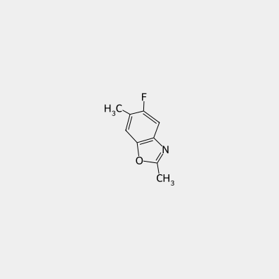 Cc1nc2cc(F)c(C)cc2o1